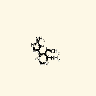 C=Cc1c(N)ncnc1-c1cnn(C)c1